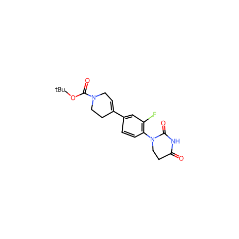 CC(C)(C)OC(=O)N1CC=C(c2ccc(N3CCC(=O)NC3=O)c(F)c2)CC1